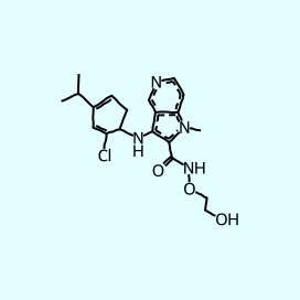 CC(C)C1=CCC(Nc2c(C(=O)NOCCO)n(C)c3ccncc23)C(Cl)=C1